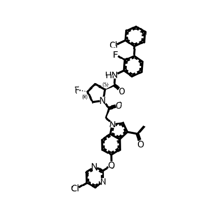 CC(=O)c1cn(CC(=O)N2C[C@H](F)C[C@H]2C(=O)Nc2cccc(-c3ccccc3Cl)c2F)c2ccc(Oc3ncc(Cl)cn3)cc12